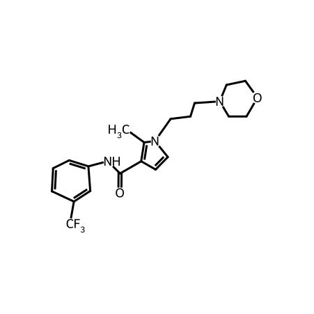 Cc1c(C(=O)Nc2cccc(C(F)(F)F)c2)ccn1CCCN1CCOCC1